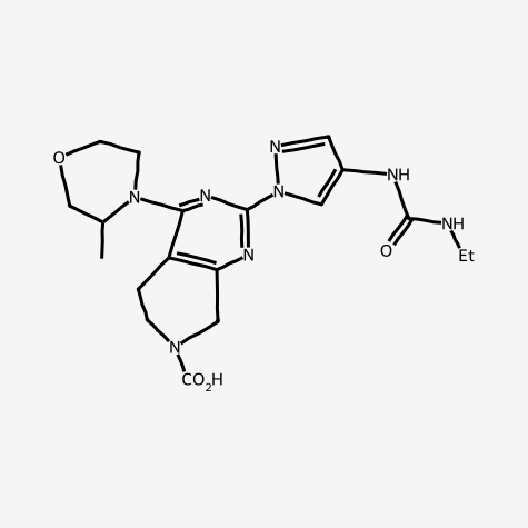 CCNC(=O)Nc1cnn(-c2nc3c(c(N4CCOCC4C)n2)CCN(C(=O)O)C3)c1